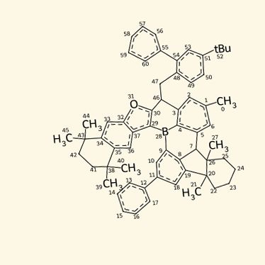 Cc1cc2c3c(c1)C1c4c(cc(-c5ccccc5)cc4C4(C)CCCCC14C)B3c1c(oc3cc4c(cc13)C(C)(C)CCC4(C)C)C2Cc1ccc(C(C)(C)C)cc1-c1ccccc1